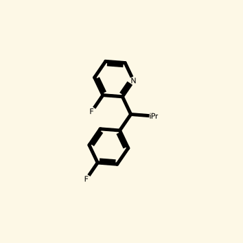 CC(C)C(c1ccc(F)cc1)c1ncccc1F